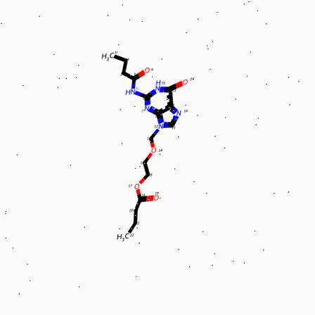 CCCC(=O)Nc1nc2c(ncn2COCCOC(=O)CCC)c(=O)[nH]1